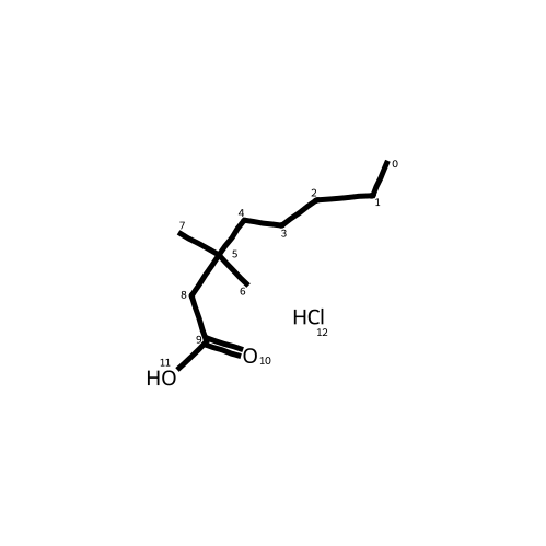 CCCCCC(C)(C)CC(=O)O.Cl